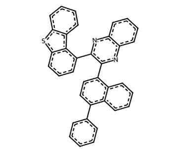 c1ccc(-c2ccc(-c3nc4ccccc4nc3-c3cccc4sc5ccccc5c34)c3ccccc23)cc1